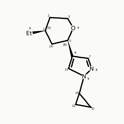 CC[C@H]1CCO[C@@H](c2cnn(C3CC3)c2)C1